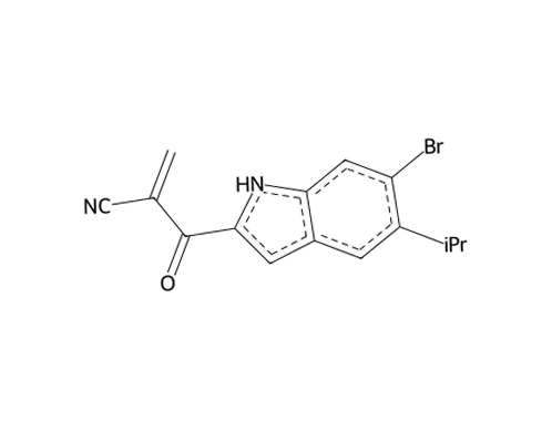 C=C(C#N)C(=O)c1cc2cc(C(C)C)c(Br)cc2[nH]1